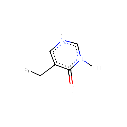 CC(C)Cc1cncn(C)c1=O